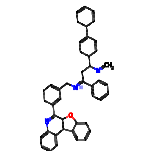 C=NC(C/C(=N\CC1=CCCC(C2=Nc3ccccc3C3c4ccccc4OC23)=C1)c1ccccc1)C1C=CC(C2C=CC=CC2)=CC1